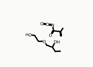 C=C(C)C(=O)N=C=O.CCC(O)COCCO